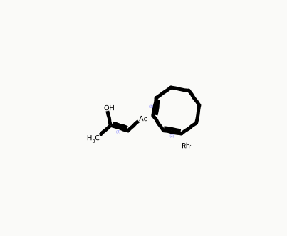 C1=C\CCCC\C=C/1.CC(=O)/C=C(/C)O.[Rh]